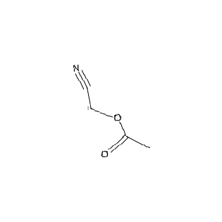 CC(=O)O[C]C#N